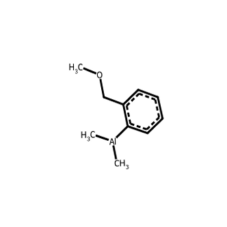 COCc1cccc[c]1[Al]([CH3])[CH3]